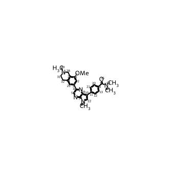 COc1cc(-c2cnc3c(n2)c(-c2ccc(C(=O)N(C)C)cc2)cn3C)cc2c1CN(C)CC2